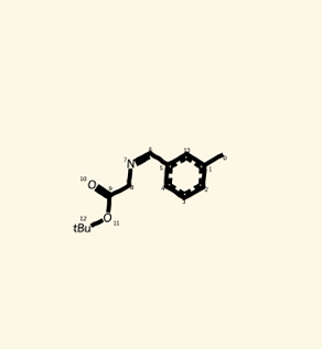 Cc1cccc(/C=N\CC(=O)OC(C)(C)C)c1